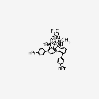 CCCc1ccc(-c2cccc3c2C=C(CC(C)(C)C)[CH]3[Zr]([Cl])([Cl])([CH]2C(CC(C)(C)C)=Cc3c(-c4ccc(CCC)cc4)cccc32)[SiH](C)CCC(F)(F)F)cc1